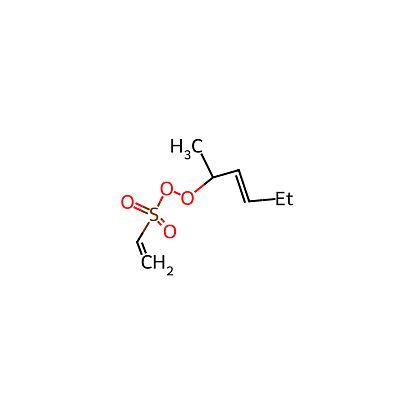 C=CS(=O)(=O)OOC(C)/C=C/CC